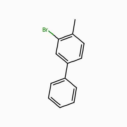 Cc1ccc(-c2ccccc2)cc1Br